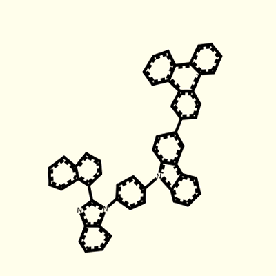 c1ccc2c(-c3nc4ccccc4n3-c3ccc(-n4c5ccccc5c5cc(-c6ccc7c8ccccc8c8ccccc8c7c6)ccc54)cc3)cccc2c1